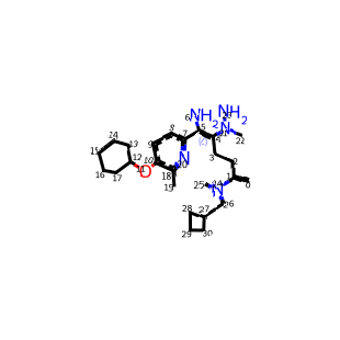 C=C(CC/C(=C(/N)c1ccc(OC2CCCCC2)c(C)n1)N(C)N)N(C)CC1CCC1